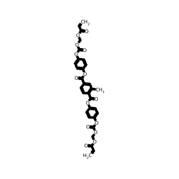 C=CC(=O)OCOC(=O)Oc1ccc(OC(=O)c2ccc(C(=O)Oc3ccc(OC(=O)OCOC(=O)C=C)cc3)c(C)c2)cc1